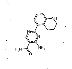 NC(=O)c1cnc(-c2cccc3c2CCCN3)nc1N